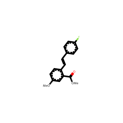 COC(=O)c1cc(OC)ccc1C=Cc1ccc(F)cc1